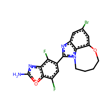 Nc1nc2c(F)c(-c3nc4cc(Br)cc5c4n3CCCCO5)cc(F)c2o1